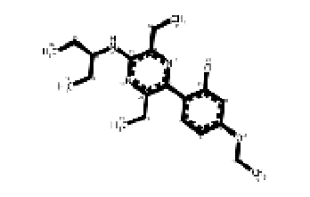 CCOc1ccc(-c2nc(CC)c(NC(CC)CC)nc2CC)c(Cl)c1